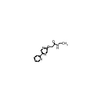 CCNC(=O)COc1cnc(-c2ccccn2)cn1